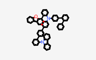 c1ccc(-c2ccccc2-c2ccc(N(c3ccc(-c4ccc(-c5ccccc5-n5c6ccccc6c6ccccc65)cc4)cc3)c3ccccc3-c3cccc4c3oc3ccccc34)cc2)cc1